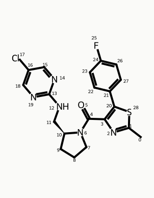 Cc1nc(C(=O)N2CCC[C@H]2CNc2ncc(Cl)cn2)c(-c2ccc(F)cc2)s1